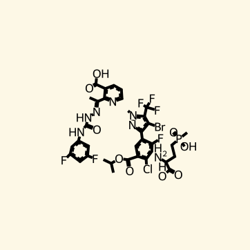 C/C(=N\NC(=O)Nc1cc(F)cc(F)c1)c1ncccc1C(=O)O.CC(C)OC(=O)c1cc(-c2nn(C)c(C(F)(F)F)c2Br)c(F)cc1Cl.CP(=O)(O)CCC(N)C(=O)O